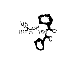 O=C(NC(=O)c1ccccc1)c1ccccc1.O=P(O)(O)O